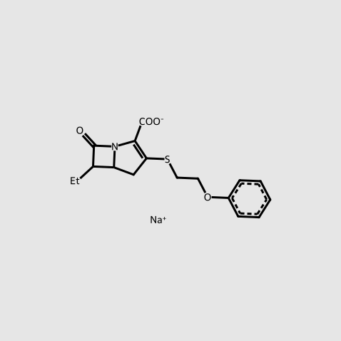 CCC1C(=O)N2C(C(=O)[O-])=C(SCCOc3ccccc3)CC12.[Na+]